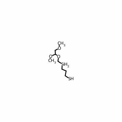 COCC(OC)OC[SiH2]CCCS